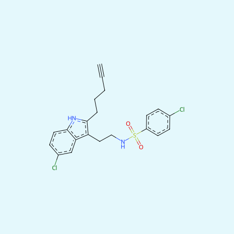 C#CCCCc1[nH]c2ccc(Cl)cc2c1CCNS(=O)(=O)c1ccc(Cl)cc1